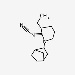 CCC1[CH]CCN(C2CC3CCC2C3)C1=NC#N